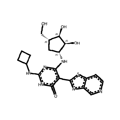 O=c1[nH]c(NC2CCC2)nc(N[C@@H]2C[C@H](CO)[C@@H](O)[C@H]2O)c1-c1nc2cnccc2s1